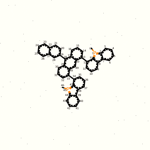 Cp1c2ccccc2c2cccc(-c3cccc4c(-c5ccc6ccccc6c5)c5cccc(-c6cccc7c8ccccc8p(C)c67)c5cc34)c21